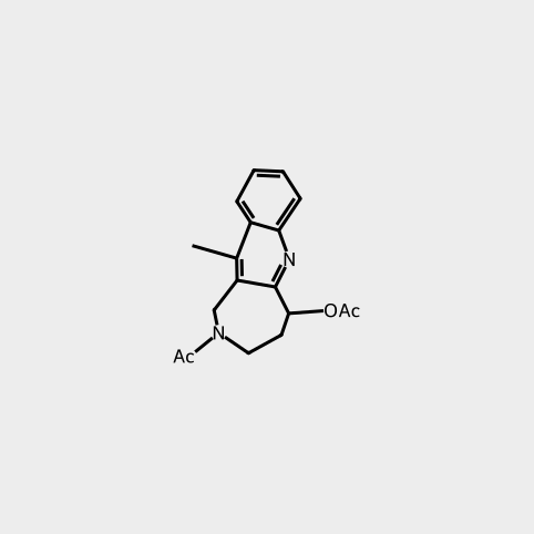 CC(=O)OC1CCN(C(C)=O)Cc2c1nc1ccccc1c2C